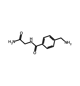 NCc1ccc(C(=O)NCC(N)=O)cc1